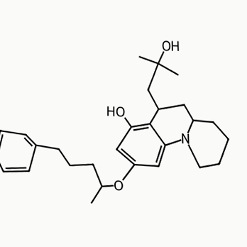 CC(CCCc1ccccc1)Oc1cc(O)c2c(c1)N1CCCCC1CC2CC(C)(C)O